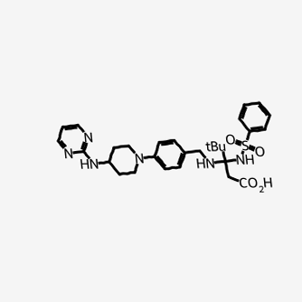 CC(C)(C)C(CC(=O)O)(NCc1ccc(N2CCC(Nc3ncccn3)CC2)cc1)NS(=O)(=O)c1ccccc1